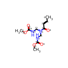 CC=CC(=O)N(CNC(=O)OC)CNC(=O)OC